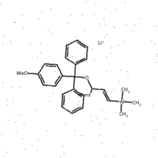 CCCCCC(/C=[CH]/[Al-]([CH3])([CH3])[CH3])OC(c1ccccc1)(c1ccccc1)c1ccc(OC)cc1.[Li+]